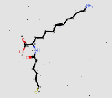 NCCCC/C=C/CCCCC(NC(=O)CCCCCS)C(=O)O